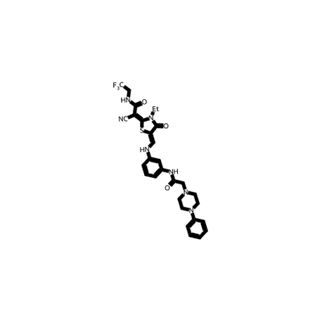 CCn1c(=C(C#N)C(=O)NCC(F)(F)F)sc(=CNc2cccc(NC(=O)CN3CCN(c4ccccc4)CC3)c2)c1=O